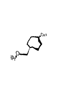 CC(C)OC[C@H]1CC[C@@H](O)CC1